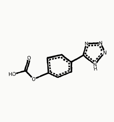 O=C(O)Oc1ccc(-c2nnn[nH]2)cc1